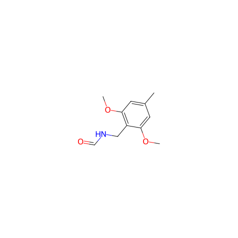 COc1cc(C)cc(OC)c1CNC=O